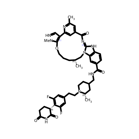 CN/C1=C(\C=N)c2cc(cc(C)n2)C(=O)/N=C2\Nc3ccc(C(=O)NCC4CCN(CCc5cc(F)c([C@H]6CCC(=O)NC6=O)c(F)c5)[C@@H](C)C4)cc3N2C[C@H](C)CCCO1